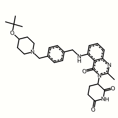 Cc1nc2cccc(NCc3ccc(CN4CCC(OC(C)(C)C)CC4)cc3)c2c(=O)n1C1CCC(=O)NC1=O